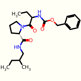 CCC(C)CNC(=O)[C@@H]1CCCN1C(=O)C(CC)NC(=O)OCc1ccccc1